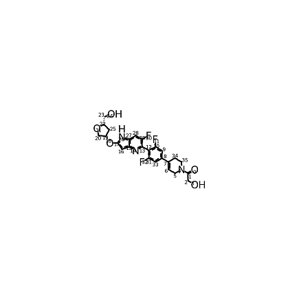 O=C(CO)N1CC=C(c2cc(F)c(-c3nc4cc(O[C@@H]5CO[C@H](CO)C5)[nH]c4cc3F)c(F)c2)CC1